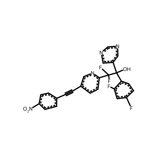 O=[N+]([O-])c1ccc(C#Cc2ccc(C(F)(F)C(O)(c3cncnc3)c3ccc(F)cc3F)nc2)cc1